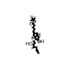 CC#CCC(C)[C@H](O)/C=C/[C@@H]1[C@H]2C/C(=C/CCCC(=O)OC(C)(C)C)C[C@H]2C[C@H]1O